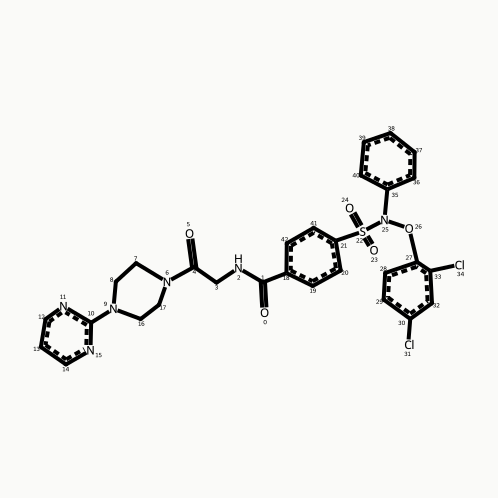 O=C(NCC(=O)N1CCN(c2ncccn2)CC1)c1ccc(S(=O)(=O)N(Oc2ccc(Cl)cc2Cl)c2ccccc2)cc1